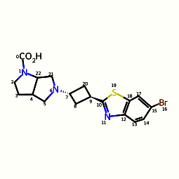 O=C(O)N1CCC2CN([C@H]3C[C@H](c4nc5ccc(Br)cc5s4)C3)CC21